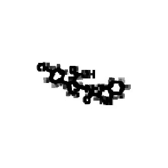 O=C(Nc1scc(-c2ccc(Cl)cc2)c1C(=O)O)c1nnc2ccccc2n1